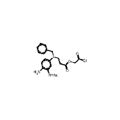 CCC(=O)COC(=O)CCN(Cc1ccccc1)c1ccc(N)c(NC(C)=O)c1